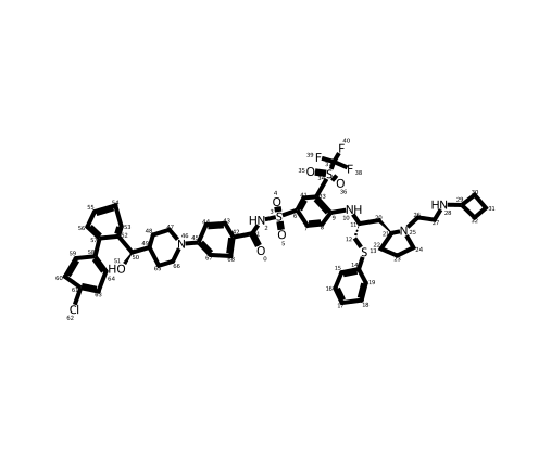 O=C(NS(=O)(=O)c1ccc(N[C@@H](CSc2ccccc2)C[C@@H]2CCCN2CCNC2CCC2)c(S(=O)(=O)C(F)(F)F)c1)c1ccc(N2CCC([C@@H](O)c3ccccc3-c3ccc(Cl)cc3)CC2)cc1